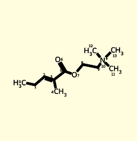 CC/C=C(\C)C(=O)OCC[N+](C)(C)C